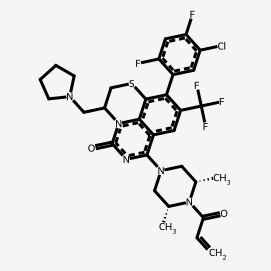 C=CC(=O)N1[C@H](C)CN(c2nc(=O)n3c4c(c(-c5cc(Cl)c(F)cc5F)c(C(F)(F)F)cc24)SCC3CN2CCCC2)C[C@@H]1C